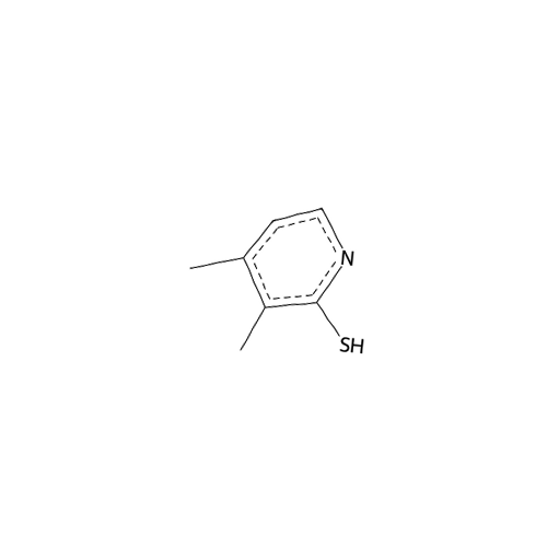 Cc1ccnc(S)c1C